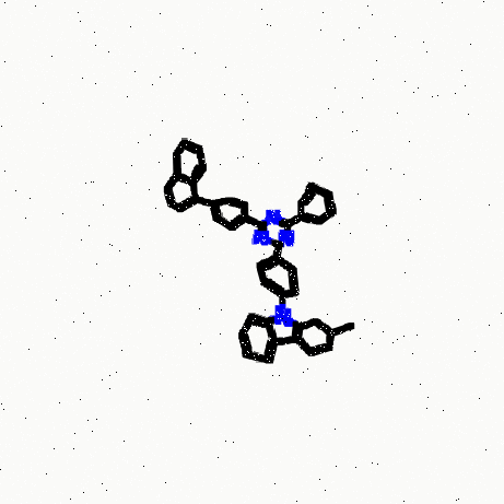 CC1C=Cc2c(n(-c3ccc(-c4nc(-c5ccccc5)nc(-c5ccc(-c6cccc7ccccc67)cc5)n4)cc3)c3ccccc23)C1